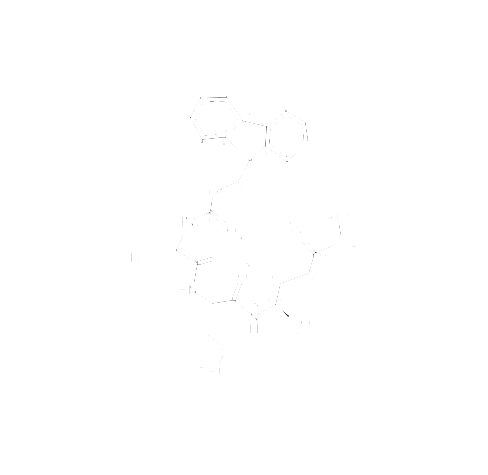 C[C@H](NC(=O)OCC1c2ccccc2-c2ccccc21)C(=O)N[C@@H](COC(C)(C)C)C(=O)N[C@@H](CCC(=O)OC(C)(C)C)C(=O)O